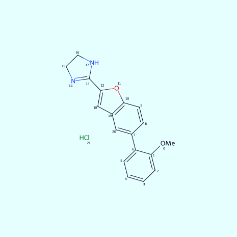 COc1ccccc1-c1ccc2oc(C3=NCCN3)cc2c1.Cl